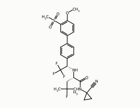 COc1ccc(-c2ccc([C@H](N[C@@H](CC(C)(C)F)C(=O)NC3(C#N)CC3)C(F)(F)F)cc2)cc1S(C)(=O)=O